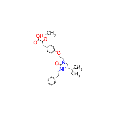 CCOC(Cc1ccc(OCCN(CCC(C)C)C(=O)NCCc2ccccc2)cc1)C(=O)O